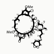 COc1cc2cc(c1Cl)N(C)C(=O)C[C@H](OC(=O)[C@H](C)N(C)C(=O)CCSC1CCOOC1)[C@]1(C)O[C@H]1C(C)[C@@H]1CC(NC(=O)O1)[C@H](OC)/C=C/C=C(\C)C2